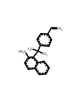 C=Cc1ccc(C(c2c(S(=O)(=O)O)ccc3ccccc23)(C(F)(F)F)C(F)(F)F)cc1